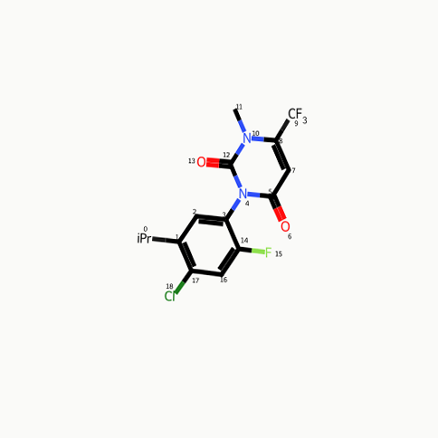 CC(C)c1cc(-n2c(=O)cc(C(F)(F)F)n(C)c2=O)c(F)cc1Cl